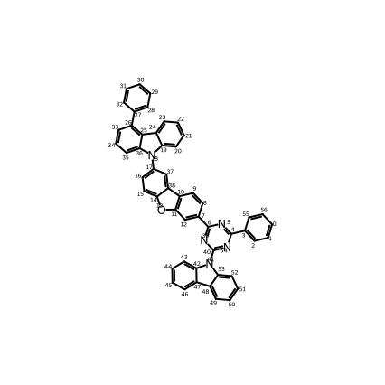 c1ccc(-c2nc(-c3ccc4c(c3)oc3ccc(-n5c6ccccc6c6c(-c7ccccc7)cccc65)cc34)nc(-n3c4ccccc4c4ccccc43)n2)cc1